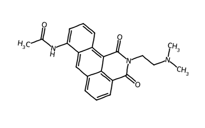 CC(=O)Nc1cccc2c3c4c(cccc4cc12)C(=O)N(CCN(C)C)C3=O